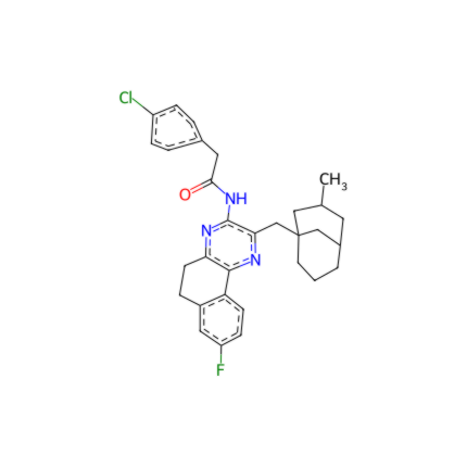 CC1CC2CCCC(Cc3nc4c(nc3NC(=O)Cc3ccc(Cl)cc3)CCc3cc(F)ccc3-4)(C1)C2